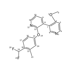 COc1ccncc1-c1cccnc1Oc1ccc(C(F)F)c(C)c1